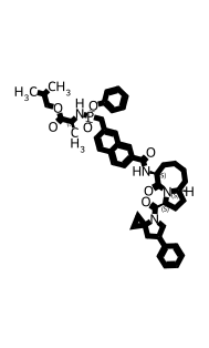 CC(C)COC(=O)[C@H](C)NP(=O)(Cc1ccc2ccc(C(=O)N[C@H]3CCCC[C@H]4CC[C@@H](C(=O)N5CC(c6ccccc6)CC56CC6)N4C3=O)cc2c1)Oc1ccccc1